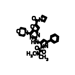 CN(C)S(=O)(=O)n1nc(-c2ccccc2)cc1Nc1nc(N2CCOCC2)c2oc(C(=O)N3CCC3)cc2n1